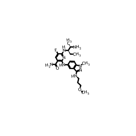 CC[C@@H](Nc1nc(Nc2ccc3c(c2)c(NCCCOC)nn3C)c(C(N)=O)cc1F)[C@H](C)N